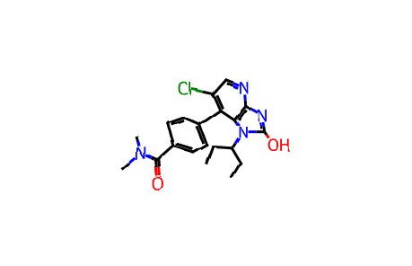 CCC(CC)n1c(O)nc2ncc(Cl)c(-c3ccc(C(=O)N(C)C)cc3)c21